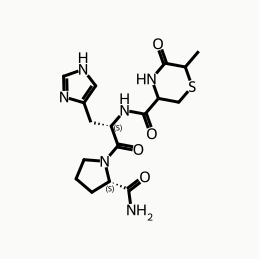 CC1SCC(C(=O)N[C@@H](Cc2c[nH]cn2)C(=O)N2CCC[C@H]2C(N)=O)NC1=O